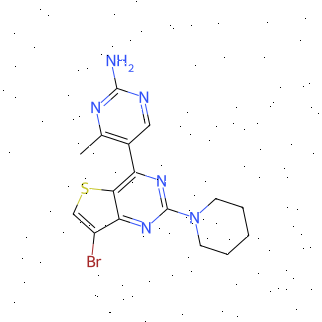 Cc1nc(N)ncc1-c1nc(N2CCCCC2)nc2c(Br)csc12